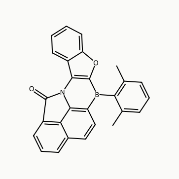 Cc1cccc(C)c1B1c2ccc3cccc4c3c2N(C4=O)c2c1oc1ccccc21